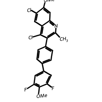 COc1cc2nc(C)c(-c3ccc(-c4cc(F)c(OC)c(F)c4)cc3)c(Cl)c2cc1Cl